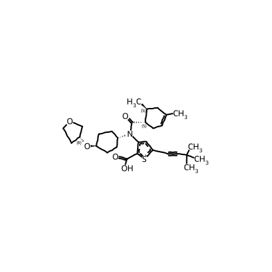 CC1=CC[C@H](C(=O)N(c2cc(C#CC(C)(C)C)sc2C(=O)O)[C@H]2CC[C@H](O[C@@H]3CCOC3)CC2)[C@@H](C)C1